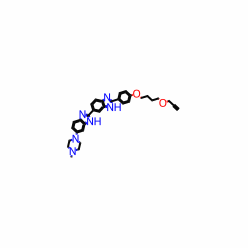 C#CCOCCCCOc1ccc(-c2nc3ccc(-c4nc5ccc(N6CCN(C)CC6)cc5[nH]4)cc3[nH]2)cc1